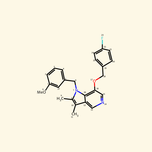 COc1cccc(Cn2c(C)c(C)c3cncc(OCc4ccc(F)cc4)c32)c1